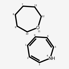 C1=CC=CNC=C1.C1CCCOCC1